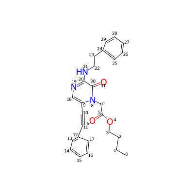 CCCCOC(=O)Cn1c(C#Cc2ccccc2)cnc(NCCc2ccccc2)c1=O